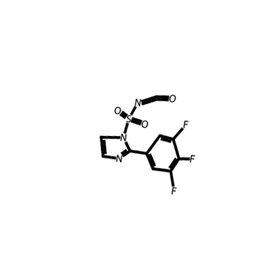 O=C=NS(=O)(=O)n1ccnc1-c1cc(F)c(F)c(F)c1